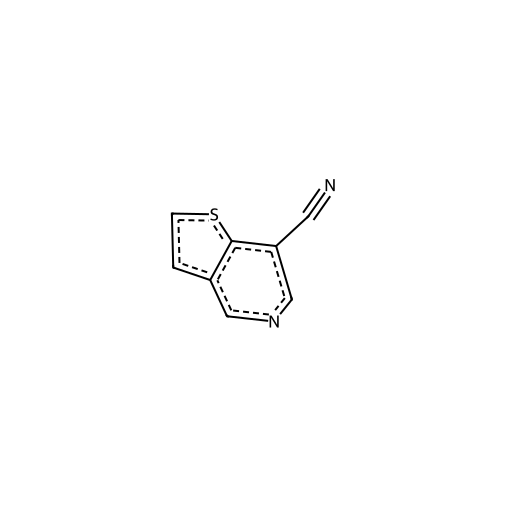 N#Cc1cncc2ccsc12